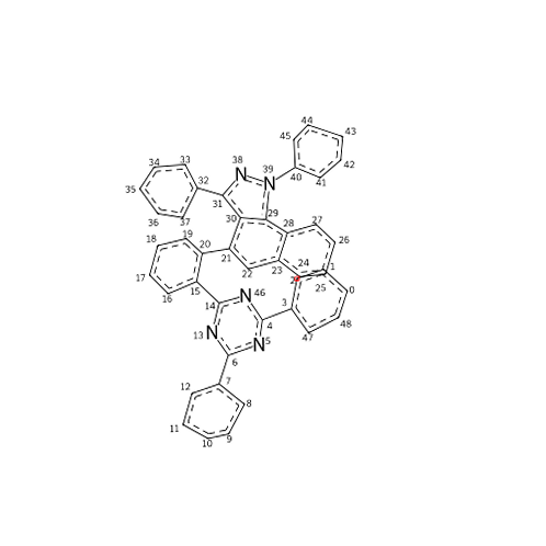 c1ccc(-c2nc(-c3ccccc3)nc(-c3ccccc3-c3cc4ccccc4c4c3c(-c3ccccc3)nn4-c3ccccc3)n2)cc1